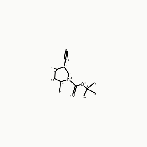 C#C[C@H]1CN(C(=O)OC(C)(C)C)[C@@H](C)CO1